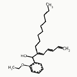 C=CC=CC=C(CCCCCCCCC)C(O)c1ccccc1OCC